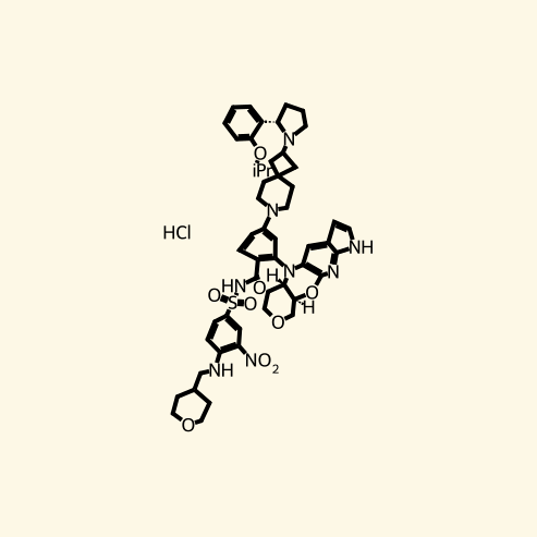 CC(C)Oc1ccccc1[C@@H]1CCCN1C1CC2(CCN(c3ccc(C(=O)NS(=O)(=O)c4ccc(NCC5CCOCC5)c([N+](=O)[O-])c4)c(N4c5cc6cc[nH]c6nc5O[C@H]5COCC[C@@H]54)c3)CC2)C1.Cl